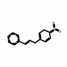 O=S(=O)=C1C=CC([CH]C=Cc2ccccc2)=CC1